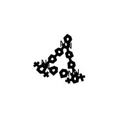 CC(C)(C)c1ccc(C(C)(C)C)c2c1nc(-c1ccc(-c3ccc(-c4nc5ccccc5nc4-c4ccc(-c5ccc(-c6nc7c(C(C)(C)C)ccc(C(C)(C)C)c7n6-c6ccccc6)cc5)cc4)cc3)cc1)n2-c1ccccc1